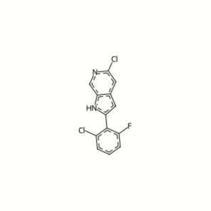 Fc1cccc(Cl)c1-c1cc2cc(Cl)ncc2[nH]1